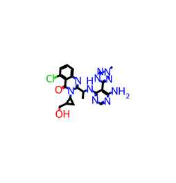 CC(Nc1ncnc(N)c1-c1nnn(C)n1)c1nc2cccc(Cl)c2c(=O)n1C1CC1CO